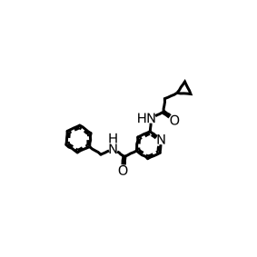 O=C(CC1CC1)Nc1cc(C(=O)NCc2ccccc2)ccn1